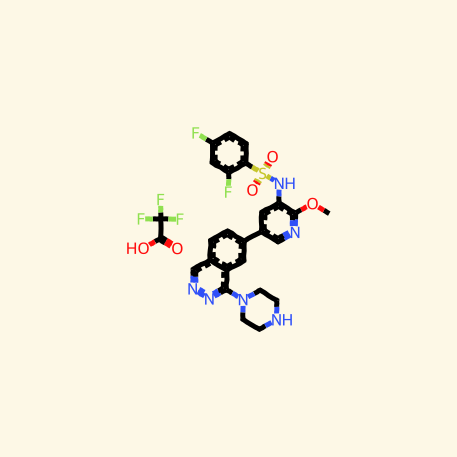 COc1ncc(-c2ccc3cnnc(N4CCNCC4)c3c2)cc1NS(=O)(=O)c1ccc(F)cc1F.O=C(O)C(F)(F)F